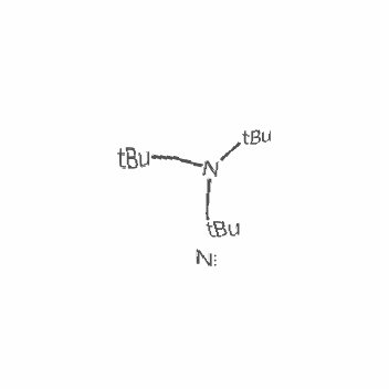 CC(C)(C)N(C(C)(C)C)C(C)(C)C.[N]